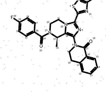 Cc1nsc(-c2nc(N3CCc4ccccc4C3=O)c3n2CCN(C(=O)c2ccc(F)cc2)[C@@H]3C)n1